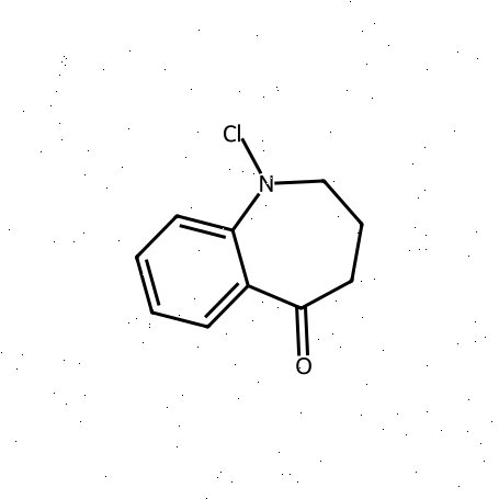 O=C1CCCN(Cl)c2ccccc21